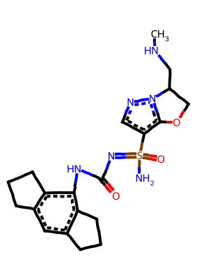 CNCC1COc2c(S(N)(=O)=NC(=O)Nc3c4c(cc5c3CCC5)CCC4)cnn21